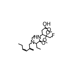 C=C(/C=C\CC)CN(CC)C(CC)C(=O)NC(CC(=O)O)C(CF)(OC)OC